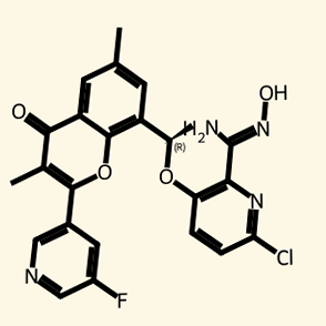 Cc1cc([C@@H](C)Oc2ccc(Cl)nc2C(N)=NO)c2oc(-c3cncc(F)c3)c(C)c(=O)c2c1